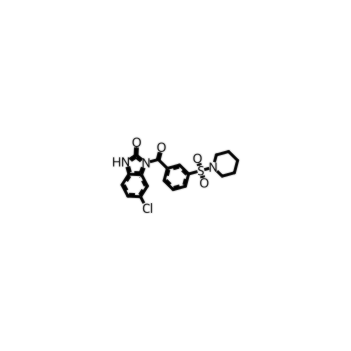 O=C(c1cccc(S(=O)(=O)N2CCCCC2)c1)n1c(=O)[nH]c2ccc(Cl)cc21